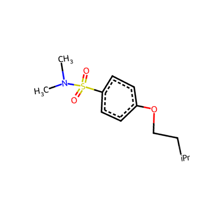 CC(C)CCOc1ccc(S(=O)(=O)N(C)C)cc1